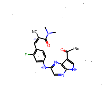 CN(C)C(=O)/C(C#N)=C\c1ccc(Nc2cnc3[nH]cc(C(=O)C(C)(C)C)c3n2)cc1F